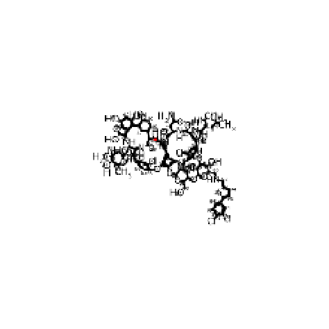 CN[C@H](CC(C)C)C(=O)NC1C(=O)NC(CC(N)=O)C(=O)N[C@H]2C(=O)N[C@H]3C(=O)N[C@H](C(=O)NC(C(=O)O)c4cc(O)cc(O)c4-c4cc3ccc4O)[C@H](OC3C[C@](C)(N)[C@@H](O)[C@H](C)O3)c3ccc(c(Cl)c3)Oc3cc2cc(c3O[C@@H]2O[C@H](CO)[C@@H](O[C@@H]3O[C@H](CNCc4ccc(-c5ccc(Cl)c(Cl)c5)s4)[C@H](O)[C@H](O)[C@H]3O)[C@H](O)[C@H]2O)Oc2ccc(cc2Cl)[C@H]1O